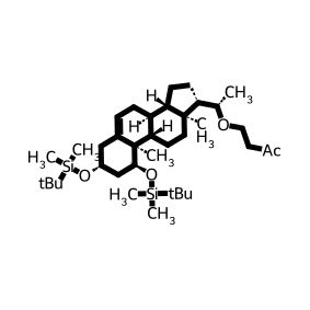 CC(=O)CCO[C@@H](C)[C@H]1CC[C@H]2[C@@H]3CC=C4C[C@@H](O[Si](C)(C)C(C)(C)C)C[C@H](O[Si](C)(C)C(C)(C)C)[C@]4(C)[C@H]3CC[C@]12C